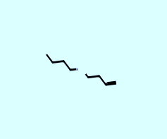 [CH]=CCCOCCCC